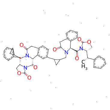 C[C@@H](c1ccccc1)[C@H]1COC(=O)N1C(=O)[C@@H]1c2ccccc2CC(=O)N1CC1CC1c1ccc2c(c1)[C@H](C(=O)N1C(=O)OC[C@@H]1Cc1ccccc1)N(CC1CC1)C(=O)C2